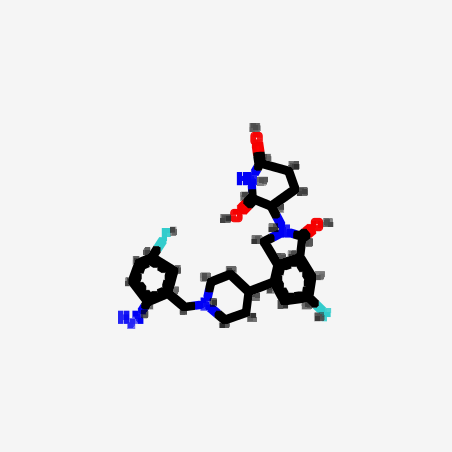 Nc1ccc(F)cc1CN1CCC(c2cc(F)cc3c2CN(C2CCC(=O)NC2=O)C3=O)CC1